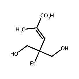 CCC(C=C(C)C(=O)O)(CO)CO